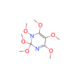 COC1=NC(OC)(OC)N(OC)C(OC)=C1OC